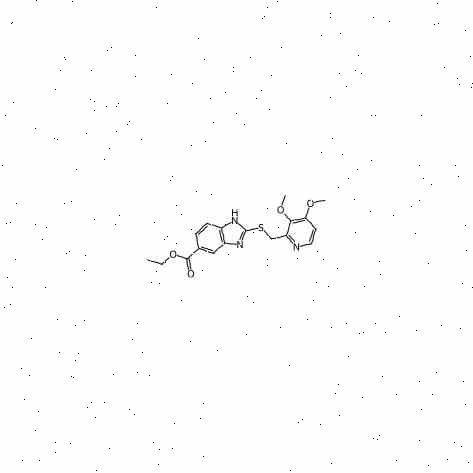 CCOC(=O)c1ccc2[nH]c(SCc3nccc(OC)c3OC)nc2c1